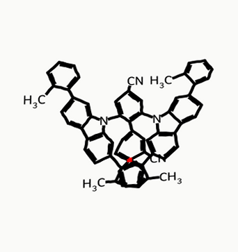 Cc1ccccc1-c1ccc2c3ccc(-c4ccccc4C)cc3n(-c3cc(C#N)cc(-n4c5cc(-c6ccccc6C)ccc5c5ccc(-c6ccccc6C)cc54)c3-c3cccc(C#N)c3)c2c1